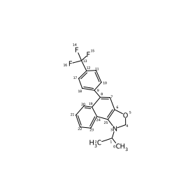 CC(C)N1COc2cc(-c3ccc(C(F)(F)F)cc3)c3ccccc3c21